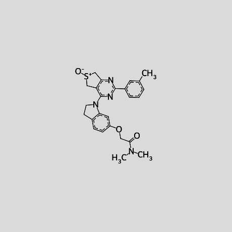 Cc1cccc(-c2nc3c(c(N4CCc5ccc(OCC(=O)N(C)C)cc54)n2)C[S+]([O-])C3)c1